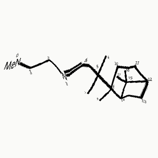 CNCC/N=C/C(C)(C)C1(C)CCC2CC1C2(C)C